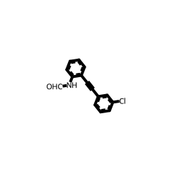 O=CNc1ccccc1C#Cc1cccc(Cl)c1